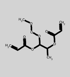 C=CC(=O)OC(C)C(OOOC)OC(=O)C=C